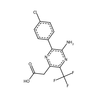 Nc1nc(C(F)(F)F)c(CC(=O)O)nc1-c1ccc(Cl)cc1